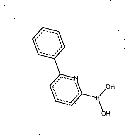 OB(O)c1cccc(-c2ccccc2)n1